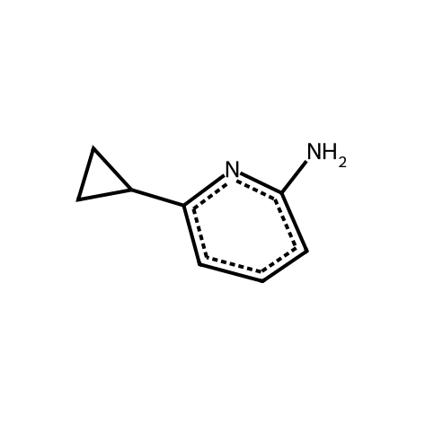 Nc1cccc(C2CC2)n1